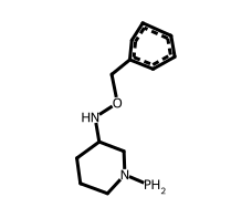 PN1CCCC(NOCc2ccccc2)C1